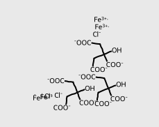 O=C([O-])CC(O)(CC(=O)[O-])C(=O)[O-].O=C([O-])CC(O)(CC(=O)[O-])C(=O)[O-].O=C([O-])CC(O)(CC(=O)[O-])C(=O)[O-].[Cl-].[Cl-].[Cl-].[Fe+3].[Fe+3].[Fe+3].[Fe+3]